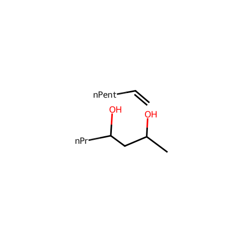 C=CCCCCC.CCCC(O)CC(C)O